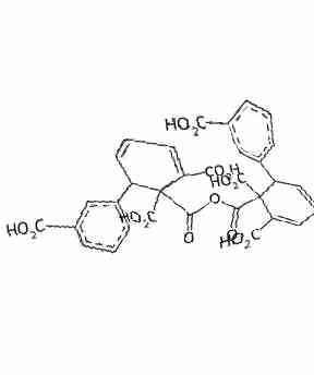 O=C(O)C1=CC=CC(c2cccc(C(=O)O)c2)C1(C(=O)O)C(=O)OC(=O)C1(C(=O)O)C(C(=O)O)=CC=CC1c1cccc(C(=O)O)c1